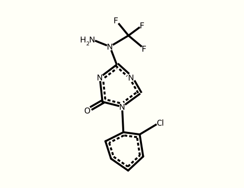 NN(c1ncn(-c2ccccc2Cl)c(=O)n1)C(F)(F)F